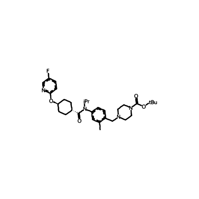 Cc1cc(N(C(=O)[C@H]2CC[C@H](Oc3ccc(F)cn3)CC2)C(C)C)ccc1CN1CCN(C(=O)OC(C)(C)C)CC1